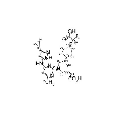 Cc1cc(Nc2cc(C3CC3)n[nH]2)nc(N2C[C@H](CC(=O)O)C[C@H](C3CCCCC3)C2)n1.O=C(O)C(F)(F)F